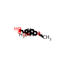 CCCCOC1CC[C@@]2(C)C(=CC[C@@H]3[C@@H]2CC[C@@]2(C)[C@H]3CC[C@]2(O)CCC(=O)O)C1